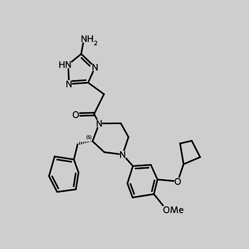 COc1ccc(N2CCN(C(=O)Cc3n[nH]c(N)n3)[C@@H](Cc3ccccc3)C2)cc1OC1CCC1